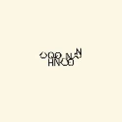 O=C(COc1ccccc1)Nc1ccc2oc(-c3cccnc3)nc2c1